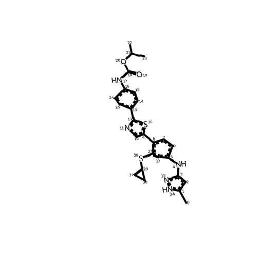 Cc1cc(Nc2ccc(-c3cnc(-c4ccc(NC(=O)OC(C)C)cc4)s3)c(SC3CC3)c2)n[nH]1